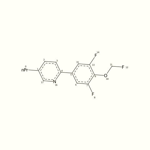 CCCc1ccc(-c2cc(F)c(OCF)c(F)c2)nc1